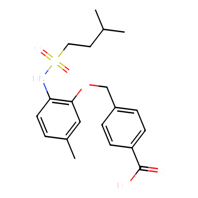 Cc1ccc(NS(=O)(=O)CCC(C)C)c(OCc2ccc(C(=O)O)cc2)c1